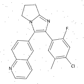 Cc1cc(-c2nc3n(c2-c2ccc4ncccc4c2)CCC3)c(F)cc1Cl